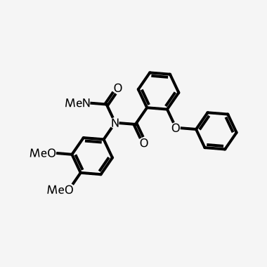 CNC(=O)N(C(=O)c1ccccc1Oc1ccccc1)c1ccc(OC)c(OC)c1